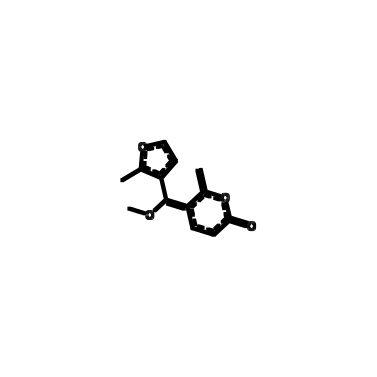 C=c1oc(=O)cc/c1=C(\OC)c1ccoc1C